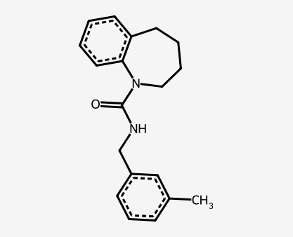 Cc1cccc(CNC(=O)N2CCCCc3ccccc32)c1